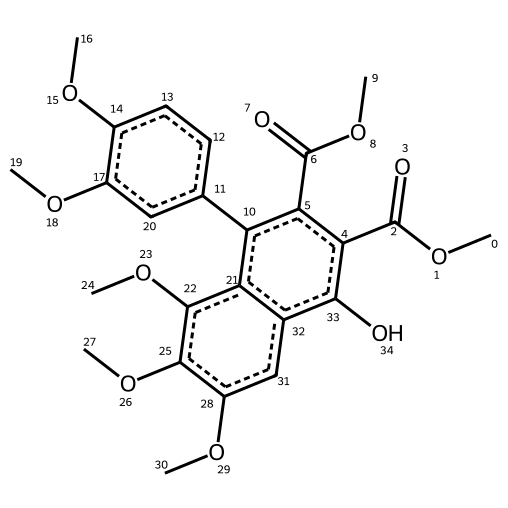 COC(=O)c1c(C(=O)OC)c(-c2ccc(OC)c(OC)c2)c2c(OC)c(OC)c(OC)cc2c1O